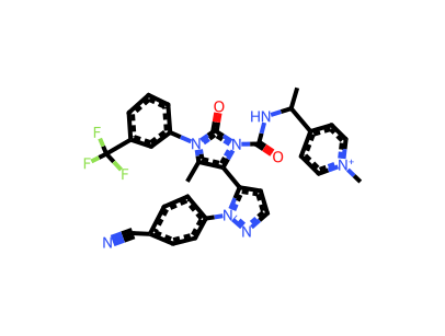 Cc1c(-c2ccnn2-c2ccc(C#N)cc2)n(C(=O)NC(C)c2cc[n+](C)cc2)c(=O)n1-c1cccc(C(F)(F)F)c1